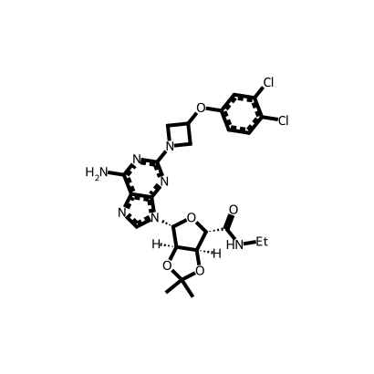 CCNC(=O)[C@H]1O[C@@H](n2cnc3c(N)nc(N4CC(Oc5ccc(Cl)c(Cl)c5)C4)nc32)[C@@H]2OC(C)(C)O[C@@H]21